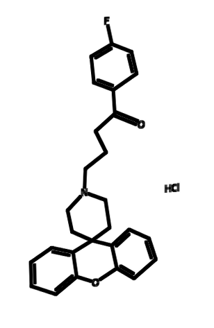 Cl.O=C(CCCN1CCC2(CC1)c1ccccc1Oc1ccccc12)c1ccc(F)cc1